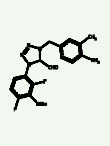 COc1c(F)ccc(N2N=NN(Cc3ccc(N)c(C)c3)C2C=O)c1F